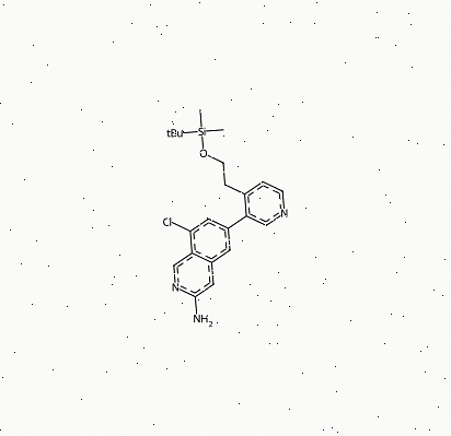 CC(C)(C)[Si](C)(C)OCCc1ccncc1-c1cc(Cl)c2cnc(N)cc2c1